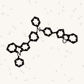 c1ccc(N(c2ccc(-c3ccc4c(c3)oc3ccccc34)cc2)c2ccc(-c3ccc4c(c3)c3ccccc3n4-c3ccccc3)cc2)cc1